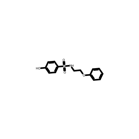 O=S(=O)(NCCOc1ccccc1)c1ccc(O)cc1